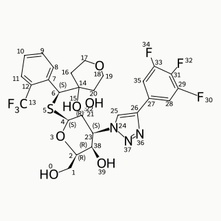 OC[C@H]1O[C@@H](S[C@@H](c2ccccc2C(F)(F)F)C2(O)CCOCC2)[C@H](O)[C@@H](n2cc(-c3cc(F)c(F)c(F)c3)nn2)[C@H]1O